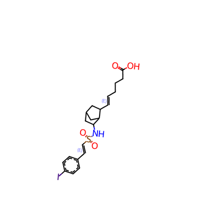 O=C(O)CCC/C=C/C1CC2CC(NS(=O)(=O)/C=C/c3ccc(I)cc3)C1C2